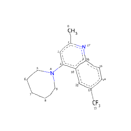 Cc1cc(N2CCCCC2)c2cc(C(F)(F)F)ccc2n1